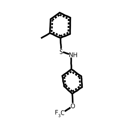 Cc1ccccc1SNc1ccc(OC(F)(F)F)cc1